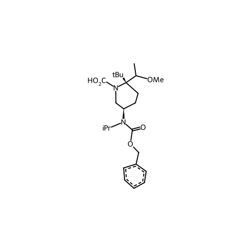 COC(C)[C@]1(C(C)(C)C)CC[C@@H](N(C(=O)OCc2ccccc2)C(C)C)CN1C(=O)O